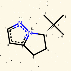 CC(C)(C)[C@@H]1CCc2ccnn21